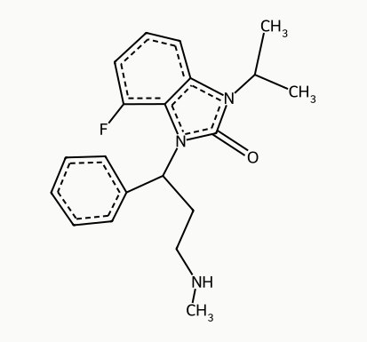 CNCCC(c1ccccc1)n1c(=O)n(C(C)C)c2cccc(F)c21